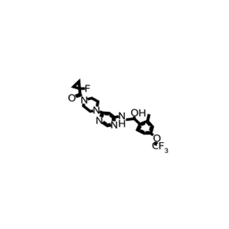 Cc1cc(OC(F)(F)F)ccc1C(O)CNc1cc(N2CCN(C(=O)C3(F)CC3)CC2)ncn1